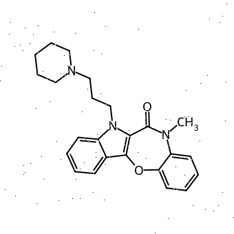 CN1C(=O)c2c(c3ccccc3n2CCCN2CCCCC2)Oc2ccccc21